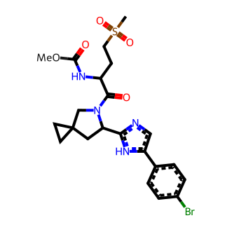 COC(=O)NC(CCS(C)(=O)=O)C(=O)N1CC2(CC2)CC1c1ncc(-c2ccc(Br)cc2)[nH]1